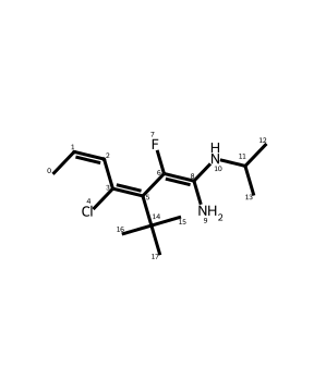 C\C=C/C(Cl)=C(\C(F)=C(/N)NC(C)C)C(C)(C)C